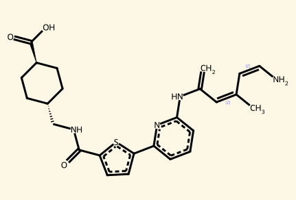 C=C(/C=C(C)\C=C/N)Nc1cccc(-c2ccc(C(=O)NC[C@H]3CC[C@H](C(=O)O)CC3)s2)n1